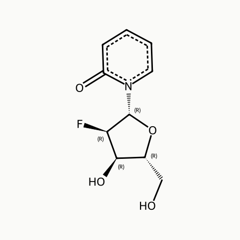 O=c1ccccn1[C@@H]1O[C@H](CO)[C@@H](O)[C@H]1F